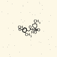 COc1ccc(CC(=O)NC2(C(=O)O)CCC(C)CC2)c(C)c1